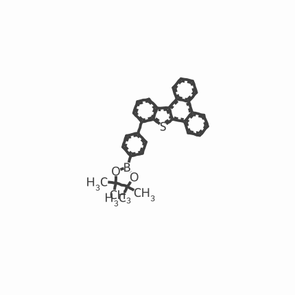 CC1(C)OB(c2ccc(-c3cccc4c3sc3c5ccccc5c5ccccc5c43)cc2)OC1(C)C